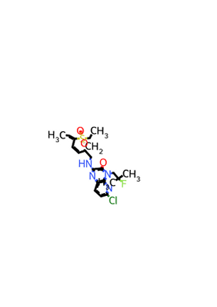 C=C(/C=C\C(=C/C)S(=O)(=O)CC)CNc1nc2ccc(Cl)nc2n(CC(C)(C)F)c1=O